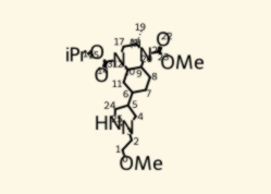 COCCN1CC(C2CCC3C(C2)N(C(=O)OC(C)C)C[C@H](C)N3C(=O)OC)CN1